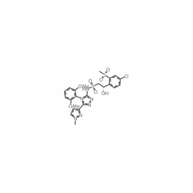 COc1cccc(OC)c1-n1c(NS(=O)(=O)C[C@@H](O)c2ccc(Cl)cc2S(C)(=O)=O)nnc1-c1ccn(C)n1